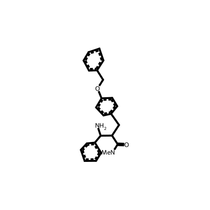 CNC(=O)C(Cc1ccc(OCc2ccccc2)cc1)C(N)c1ccccc1